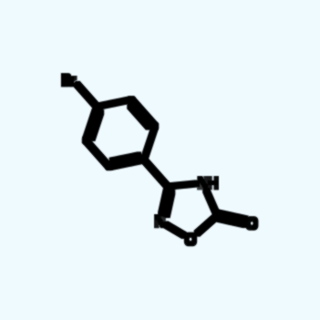 O=c1[nH]c(-c2ccc(Br)cc2)no1